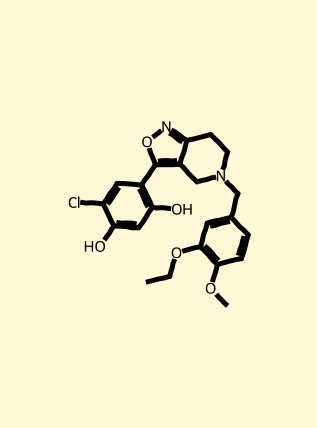 CCOc1cc(CN2CCc3noc(-c4cc(Cl)c(O)cc4O)c3C2)ccc1OC